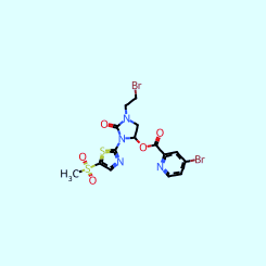 CS(=O)(=O)c1cnc(N2C(=O)N(CCBr)CC2OC(=O)c2cc(Br)ccn2)s1